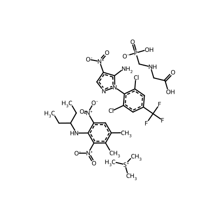 CCC(CC)Nc1c([N+](=O)[O-])cc(C)c(C)c1[N+](=O)[O-].C[S+](C)C.Nc1c([N+](=O)[O-])cnn1-c1c(Cl)cc(C(F)(F)F)cc1Cl.O=C(O)CNCP(=O)([O-])O